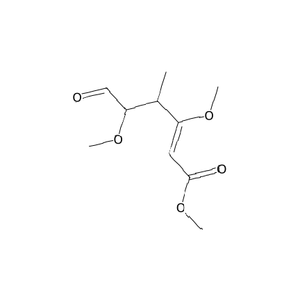 COC(=O)/C=C(\OC)C(C)C(C=O)OC